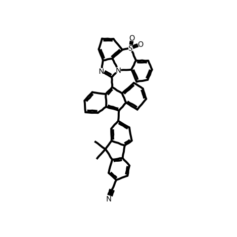 CC1(C)c2cc(C#N)ccc2-c2ccc(-c3c4ccccc4c(-c4nc5cccc6c5n4-c4ccccc4S6(=O)=O)c4ccccc34)cc21